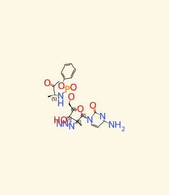 CC(=O)[C@H](C)NP(=O)(OC[C@H]1O[C@@H](n2ccc(N)nc2=O)[C@](C)(N=[N+]=[N-])[C@@H]1O)Oc1ccccc1